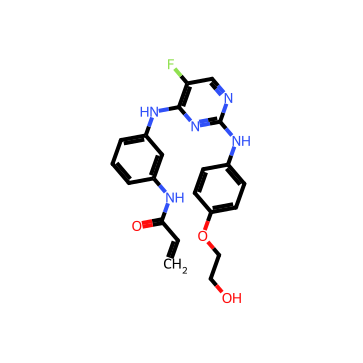 C=CC(=O)Nc1cccc(Nc2nc(Nc3ccc(OCCO)cc3)ncc2F)c1